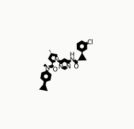 C[C@H]1C[C@H](C(=O)N(C)c2ccc(C3CC3)cc2)N(c2cc(NC(=O)[C@H]3C[C@@H]3c3cccc(Cl)c3)ncn2)C1